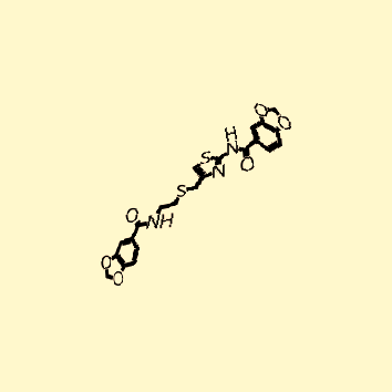 O=C(NCCSCc1csc(NC(=O)c2ccc3c(c2)OCO3)n1)c1ccc2c(c1)OCO2